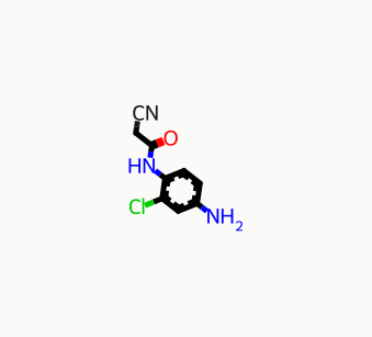 N#CCC(=O)Nc1ccc(N)cc1Cl